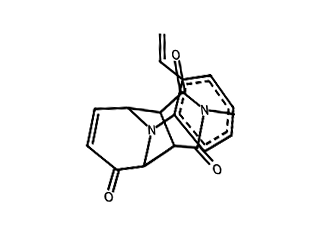 C=Cc1ccccc1N1C2C=CC(=O)C1C1C(=O)N(C)C(=O)C12